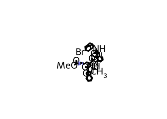 COC(=O)/C=C/CC[C@H](NC(=O)c1oc2ccccc2c1C)C(=O)Nc1cccn(CC(=O)NC2C3CC4CC2CC(Br)(C4)C3)c1=O